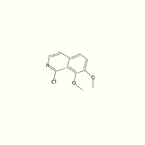 COc1ccc2ccnc(Cl)c2c1OC